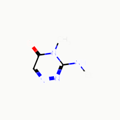 CCNC1=[N+]=[N+]=CC(=O)N1C